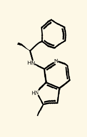 Cc1cc2ccnc(N[C@@H](C)c3ccccc3)c2[nH]1